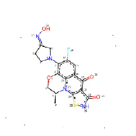 C[C@H]1COc2c(N3CC/C(=N/O)C3)c(F)cc3c(=O)c4c(=O)[nH]sc4n1c23